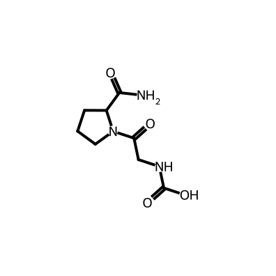 NC(=O)C1CCCN1C(=O)CNC(=O)O